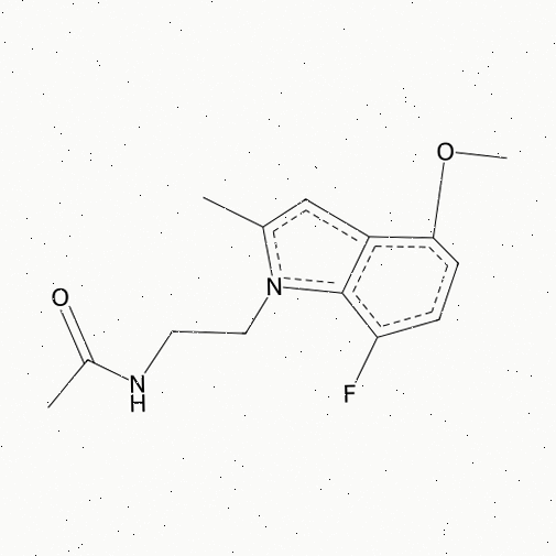 COc1ccc(F)c2c1cc(C)n2CCNC(C)=O